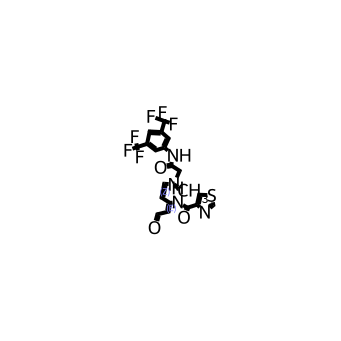 CN(/C=C\C(=C/C=O)NC(=O)c1cscn1)CC(=O)Nc1cc(C(F)(F)F)cc(C(F)(F)F)c1